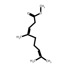 COC(=O)CC=C(C)CCC=C(C)C